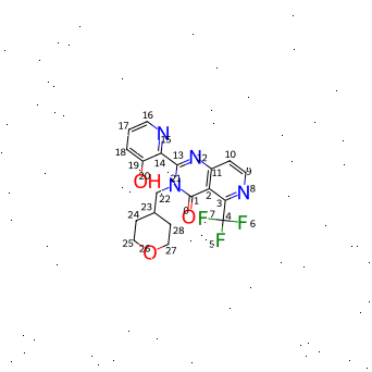 O=c1c2c(C(F)(F)F)nccc2nc(-c2ncccc2O)n1CC1CCOCC1